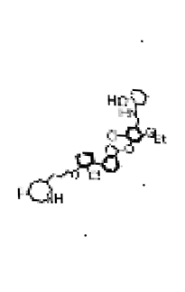 CCOc1cc(O[C@H]2CCc3c(-c4cccc(OCCCC5CCC(F)CCNC5)c4Cl)cccc32)c(Cl)cc1CN[C@@H]1CCCC[C@@H]1O